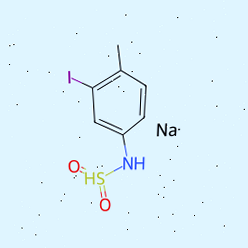 Cc1ccc(N[SH](=O)=O)cc1I.[Na]